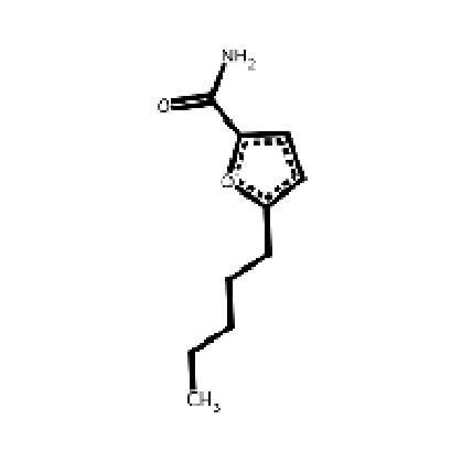 CCCCCc1ccc(C(N)=O)o1